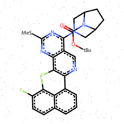 CSc1nc(N2CC3CCC(C2)N3C(=O)OC(C)(C)C)c2cnc(-c3cccc4ccc(F)c(F)c34)c(F)c2n1